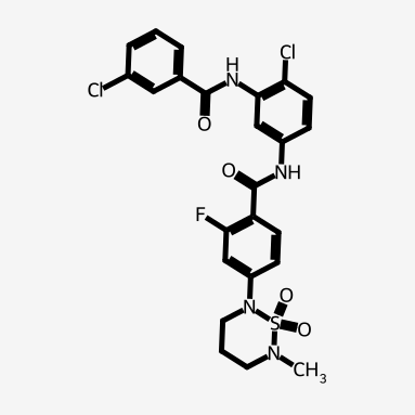 CN1CCCN(c2ccc(C(=O)Nc3ccc(Cl)c(NC(=O)c4cccc(Cl)c4)c3)c(F)c2)S1(=O)=O